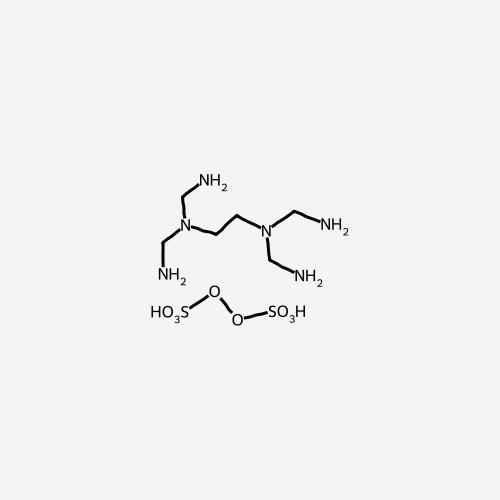 NCN(CN)CCN(CN)CN.O=S(=O)(O)OOS(=O)(=O)O